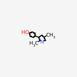 Cc1cnc(C)c(-c2ccc(O)cc2)c1